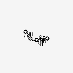 O=C(Nc1nc2ccccc2s1)c1ccc(C=C2CCN(C(=O)Nc3ccccc3)CC2)cc1Cl